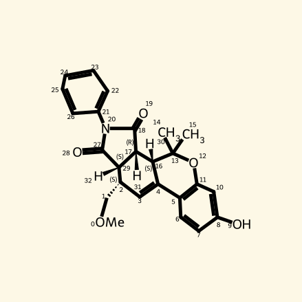 COC[C@H]1C=C2c3ccc(O)cc3OC(C)(C)[C@H]2[C@H]2C(=O)N(c3ccccc3)C(=O)[C@H]21